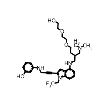 CN(C)CC(CCOCCOCCO)CNc1cccc2c1cc(C#CCNc1cccc(O)c1)n2CC(F)(F)F